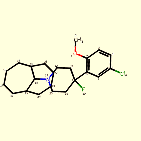 COc1ccc(Cl)cc1C1(F)CCN(C2C3CCCCC2CCCC3)CC1